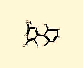 CCc1c(Cl)nc(N)nc1-c1c(C)cccc1C